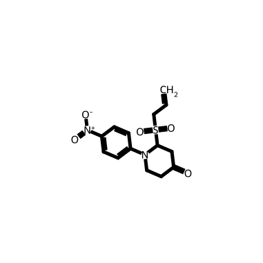 C=CCS(=O)(=O)C1CC(=O)CCN1c1ccc([N+](=O)[O-])cc1